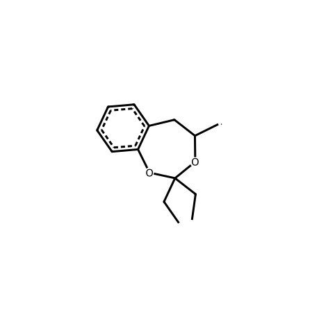 [CH2]C1Cc2ccccc2OC(CC)(CC)O1